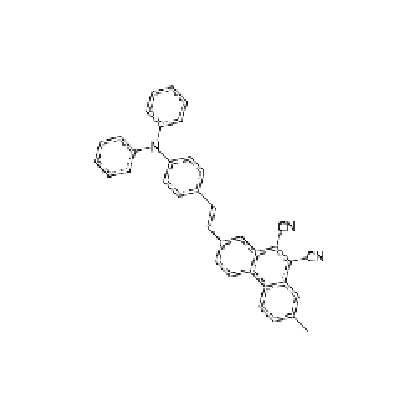 Cc1ccc2c(c1)c(C#N)c(C#N)c1cc(C=Cc3ccc(N(c4ccccc4)c4ccccc4)cc3)ccc12